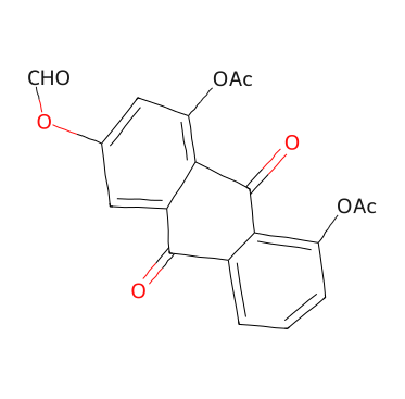 CC(=O)Oc1cccc2c1C(=O)c1c(OC(C)=O)cc(OC=O)cc1C2=O